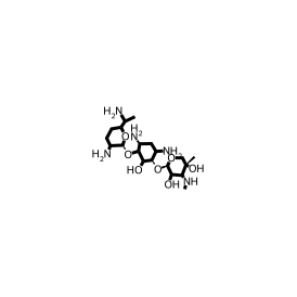 CNC1C(O)[C@@H](O[C@H]2C(N)C[C@H](N)C(O[C@H]3OC(C(C)N)CCC3N)C2O)OC[C@]1(C)O